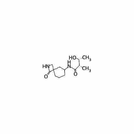 C[C@H](C(=O)NC1CCCC2(CNC2=O)C1)[C@@H](C)O